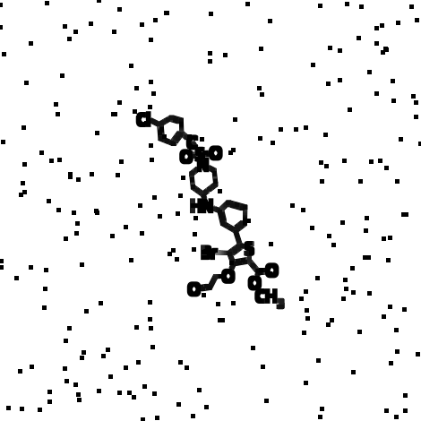 COC(=O)c1sc(-c2cccc(NC3CCN(S(=O)(=O)Cc4ccc(Cl)cc4)CC3)c2)c(Br)c1OCC=O